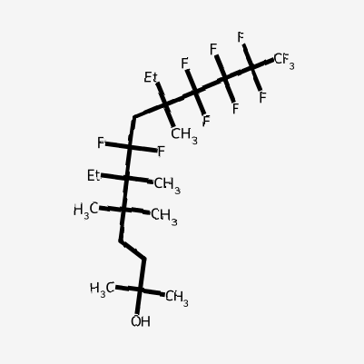 CCC(C)(CC(F)(F)C(C)(CC)C(C)(C)CCC(C)(C)O)C(F)(F)C(F)(F)C(F)(F)C(F)(F)F